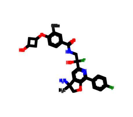 COc1cc(C(=O)NCC(O)(F)c2cc3c(c(-c4ccc(F)cc4)n2)OCC3(C)N)ccc1OC1CC(O)C1